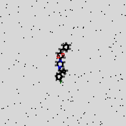 Fc1cccc(C2(CN3CCN(C4COC(Cc5ccccc5)CO4)CC3)CCC2)c1